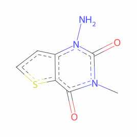 Cn1c(=O)c2sccc2n(N)c1=O